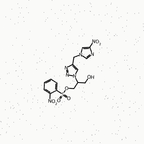 O=[N+]([O-])c1cn(Cc2cn(C(CO)COS(=O)(=O)c3ccccc3[N+](=O)[O-])nn2)cn1